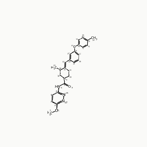 COc1ccc(NC(=O)N2CCC(=Cc3cccc(Oc4ccc(C)nc4)c3)C(C)C2)nn1